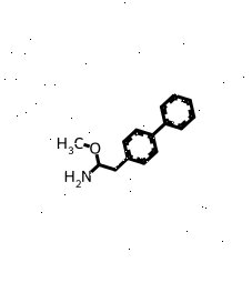 COC(N)Cc1ccc(-c2ccccc2)cc1